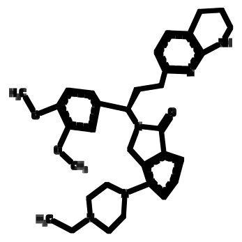 CCN1CCN(c2cccc3c2CN([C@H](CCc2ccc4c(n2)NCCC4)c2ccc(OC)c(OC)c2)C3=O)CC1